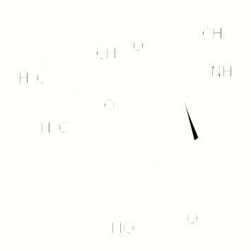 CN[C@@H](CCC(=O)O)C(=O)OC(C)(C)C